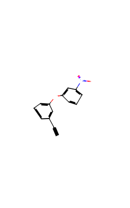 C#Cc1cccc(Oc2cccc([N+](=O)[O-])c2)c1